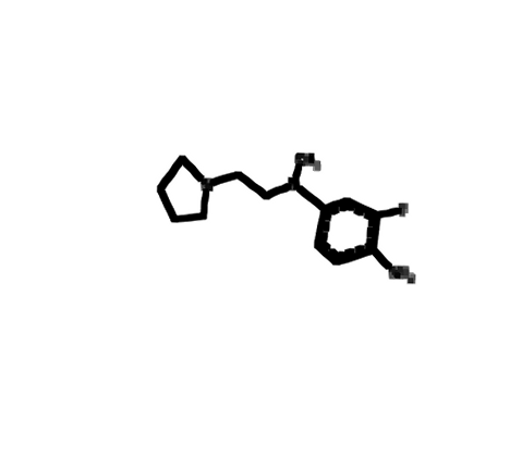 CN(CCN1CCCC1)c1ccc(N)c(F)c1